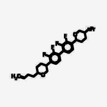 C=CCCC1CCC(c2ccc(-c3ccc(C4CCC(CCC)CO4)c(F)c3F)c(F)c2F)CO1